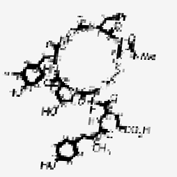 CNC(=O)[C@@H]1CSSC[C@H](NC(=O)[C@@H](CCC(=O)O)NC(=O)[C@@H](C)Cc2ccc(O)cc2)C(=O)N2C[C@H](O)C[C@H]2C(=O)N[C@@H](Cc2ccc(O)c(I)c2)C(=O)NCC(=O)N[C@@H](CC(C)C)C(=O)N1